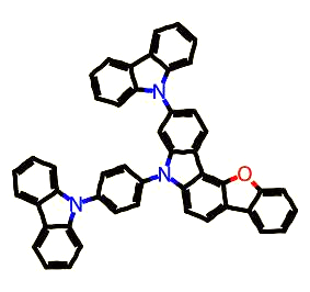 c1ccc2c(c1)oc1c2ccc2c1c1ccc(-n3c4ccccc4c4ccccc43)cc1n2-c1ccc(-n2c3ccccc3c3ccccc32)cc1